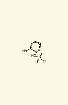 CCCc1ccccn1.[O]=[Cr](=[O])([OH])[Cl]